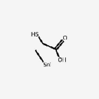 O=C(O)CS.[CH3][Sn]